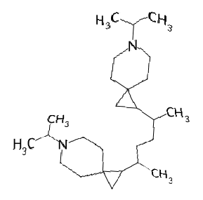 CC(CCC(C)C1CC12CCN(C(C)C)CC2)C1CC12CCN(C(C)C)CC2